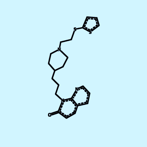 O=c1ccc2cccnc2n1CCCC1CCN(CCSc2cccs2)CC1